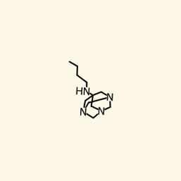 CCCCNC12CN3CN(CN(C3)C1)C2